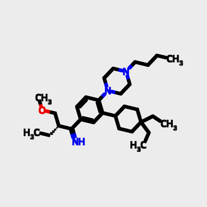 CCCCN1CCN(c2ccc(C(=N)[C@H](CC)COC)cc2C2CCC(CC)(CC)CC2)CC1